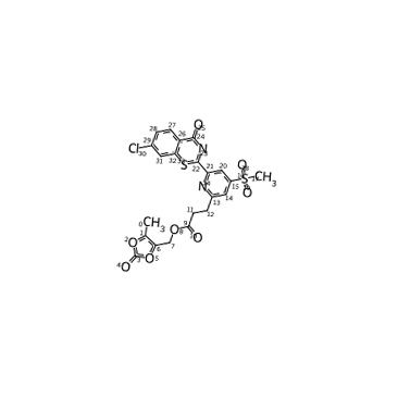 Cc1oc(=O)oc1COC(=O)CCc1cc(S(C)(=O)=O)cc(-c2nc(=O)c3ccc(Cl)cc3s2)n1